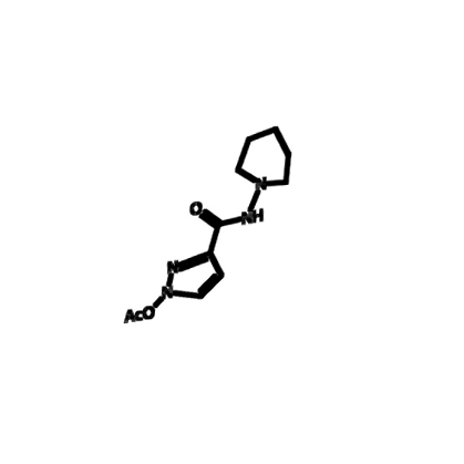 CC(=O)On1ccc(C(=O)NN2CCCCC2)n1